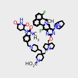 C#Cc1c(F)ccc2cccc(-c3ncc4c(N5CC6CCC(C5)N6)nc(OC[C@@]56CCCN5[C@H](CC5(CC7CCN(Cc8ccc9c(c8)n(C)c(=O)n9C8CCC(=O)NC8=O)CC7)CCN(C(=O)O)CC5)CC6)nc4c3F)c12